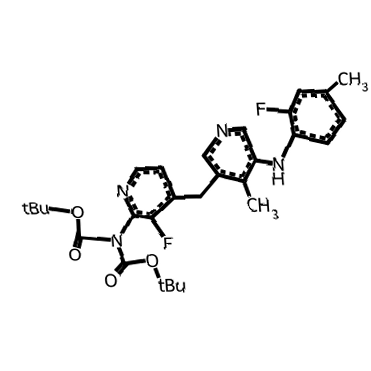 Cc1ccc(Nc2cncc(Cc3ccnc(N(C(=O)OC(C)(C)C)C(=O)OC(C)(C)C)c3F)c2C)c(F)c1